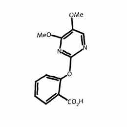 COc1cnc(Oc2ccccc2C(=O)O)nc1OC